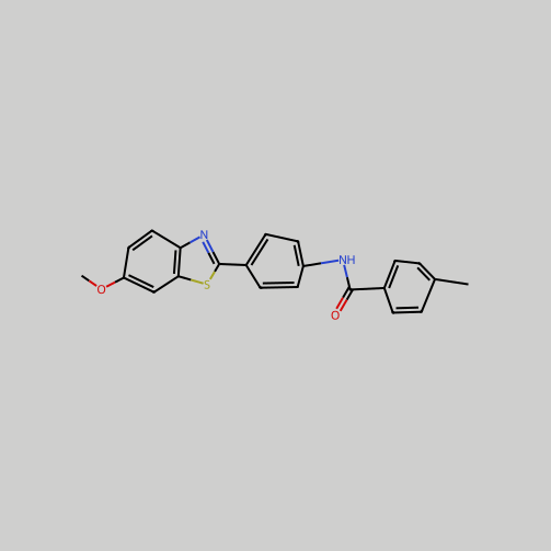 COc1ccc2nc(-c3ccc(NC(=O)c4ccc(C)cc4)cc3)sc2c1